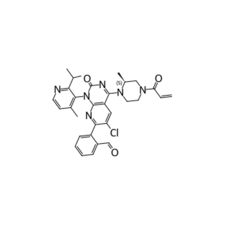 C=CC(=O)N1CCN(c2nc(=O)n(-c3c(C)ccnc3C(C)C)c3nc(-c4ccccc4C=O)c(Cl)cc23)[C@@H](C)C1